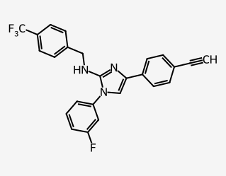 C#Cc1ccc(-c2cn(-c3cccc(F)c3)c(NCc3ccc(C(F)(F)F)cc3)n2)cc1